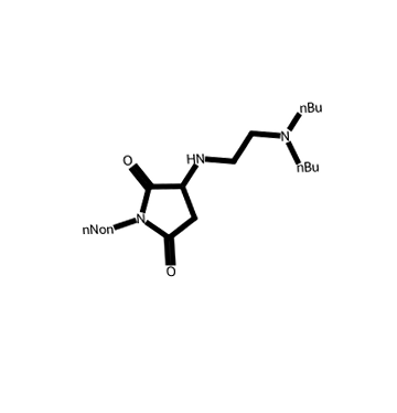 CCCCCCCCCN1C(=O)CC(NCCN(CCCC)CCCC)C1=O